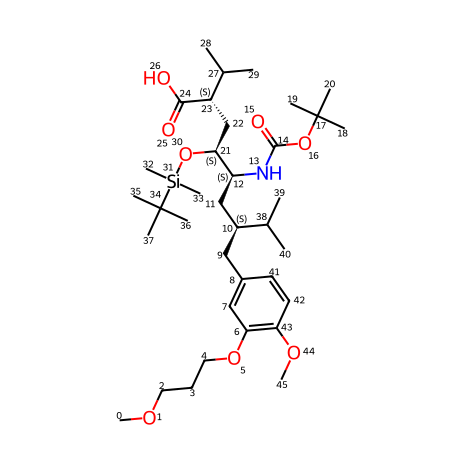 COCCCOc1cc(C[C@@H](C[C@H](NC(=O)OC(C)(C)C)[C@H](C[C@H](C(=O)O)C(C)C)O[Si](C)(C)C(C)(C)C)C(C)C)ccc1OC